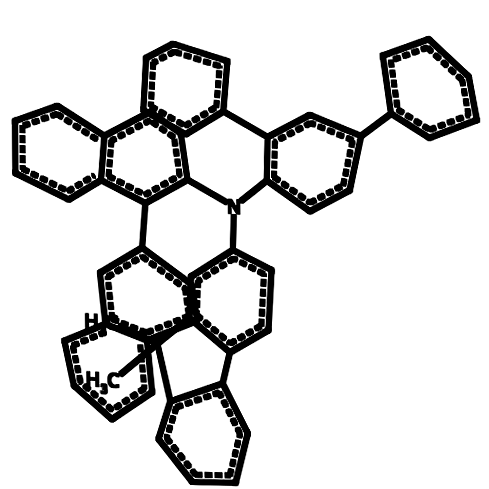 CC1(C)c2ccccc2-c2ccc(N(c3ccc(-c4ccccc4)cc3-c3ccccc3)c3ccc4ccccc4c3-c3ccc4ccccc4c3)cc21